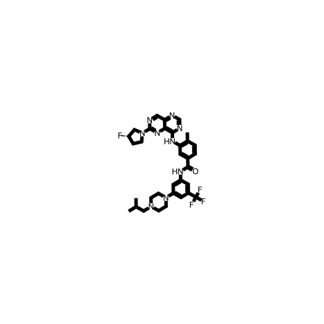 Cc1ccc(C(=O)Nc2cc(N3CCN(CC(C)C)CC3)cc(C(F)(F)F)c2)cc1Nc1ncnc2cnc(N3CC[C@H](F)C3)nc12